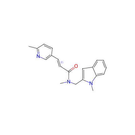 Cc1ccc(/C=C/C(=O)N(C)Cc2cc3ccccc3n2C)cn1